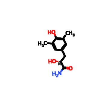 Cc1cc(C[C@@H](O)C(N)=O)cc(C)c1O